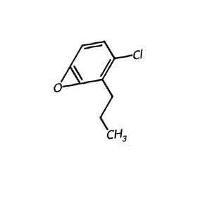 CCCc1c(Cl)ccc2c1O2